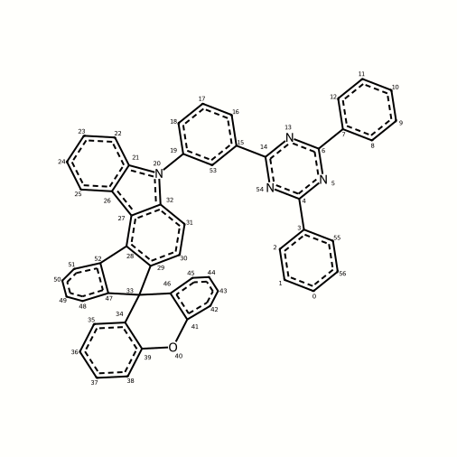 c1ccc(-c2nc(-c3ccccc3)nc(-c3cccc(-n4c5ccccc5c5c6c(ccc54)C4(c5ccccc5Oc5ccccc54)c4ccccc4-6)c3)n2)cc1